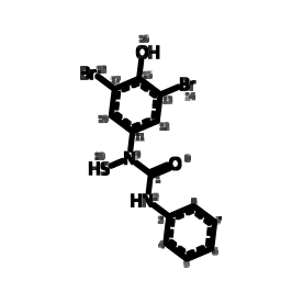 O=C(Nc1ccccc1)N(S)c1cc(Br)c(O)c(Br)c1